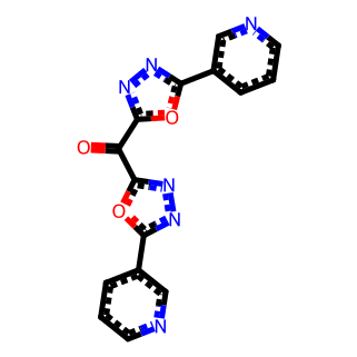 O=C(c1nnc(-c2cccnc2)o1)c1nnc(-c2cccnc2)o1